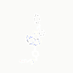 CN(CCO)CC1CCC(c2nc(-c3cccc(OCc4ccccc4)c3)c3c(N)nccn23)CC1